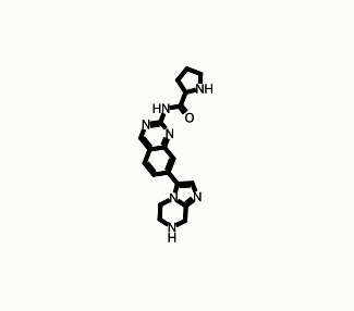 O=C(Nc1ncc2ccc(-c3cnc4n3CCNC4)cc2n1)C1CCCN1